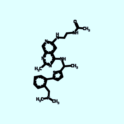 CC(=O)NCCNc1cc2c(NC(C)c3ccc(-c4ccccc4CN(C)C)s3)nc(C)nc2cn1